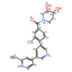 CC(C)(C)c1cc(-c2cncc(-c3ccc(C(=O)N4CC[C@H](O)[C@H](O)C4)cc3Cl)c2)ccn1